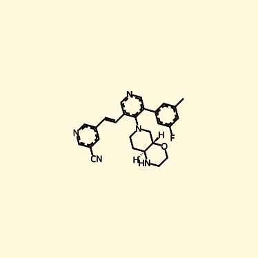 Cc1cc(F)cc(-c2cncc(/C=C/c3cncc(C#N)c3)c2N2CC[C@@H]3NCCO[C@H]3C2)c1